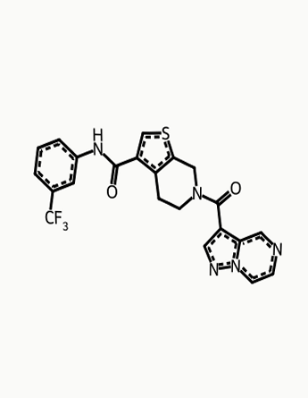 O=C(Nc1cccc(C(F)(F)F)c1)c1csc2c1CCN(C(=O)c1cnn3ccncc13)C2